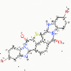 O=c1c2sc3c4c(ccc(c24)c2nc4cc(Br)ccc4n12)c(=O)n1c2ccc(Br)cc2nc31